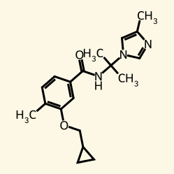 Cc1cn(C(C)(C)NC(=O)c2ccc(C)c(OCC3CC3)c2)cn1